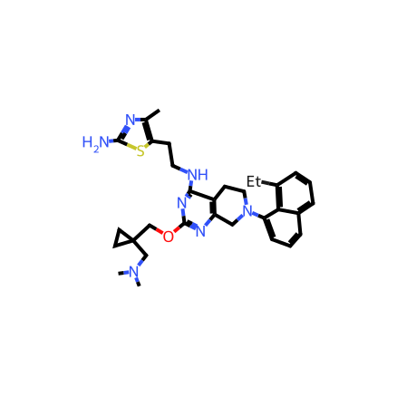 CCc1cccc2cccc(N3CCc4c(nc(OCC5(CN(C)C)CC5)nc4NCCc4sc(N)nc4C)C3)c12